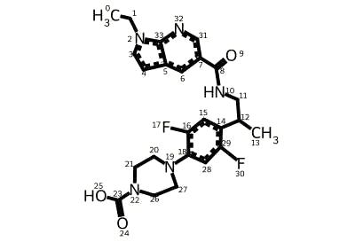 CCn1ccc2cc(C(=O)NCC(C)c3cc(F)c(N4CCN(C(=O)O)CC4)cc3F)cnc21